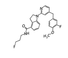 COc1ccc(Cc2ccnc(N3CCc4c(C(=O)NCCCF)cccc43)c2)cc1F